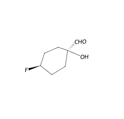 O=C[C@]1(O)CC[C@@H](F)CC1